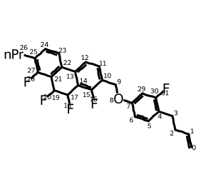 C=CCCc1ccc(OCc2ccc3c(c2F)C(F)C(F)c2c-3ccc(CCC)c2F)cc1F